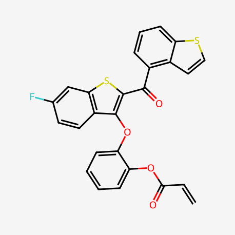 C=CC(=O)Oc1ccccc1Oc1c(C(=O)c2cccc3sccc23)sc2cc(F)ccc12